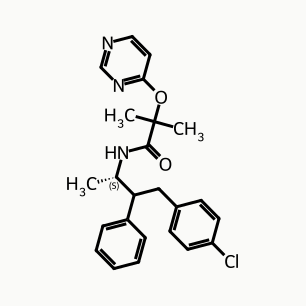 C[C@H](NC(=O)C(C)(C)Oc1ccncn1)C(Cc1ccc(Cl)cc1)c1ccccc1